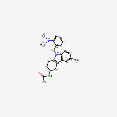 CC(C)C(=O)NC1CCc2c(c3cc(C#N)ccc3n2Cc2ccccc2N(C)C)C1